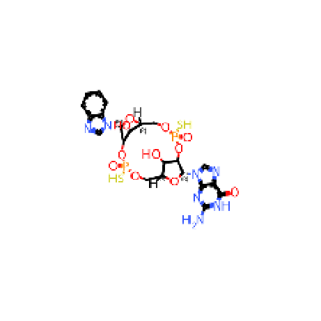 Nc1nc2c(ncn2[C@@H]2O[C@@H]3COP(=O)(S)OC4C(O)[C@@H](COP(=O)(S)OC2C3O)O[C@H]4n2cnc3ccccc32)c(=O)[nH]1